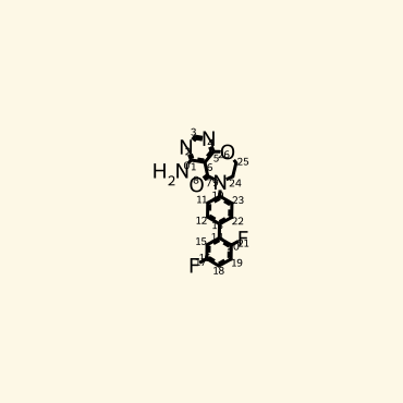 Nc1ncnc2c1C(=O)N(c1ccc(-c3cc(F)ccc3F)cc1)CCO2